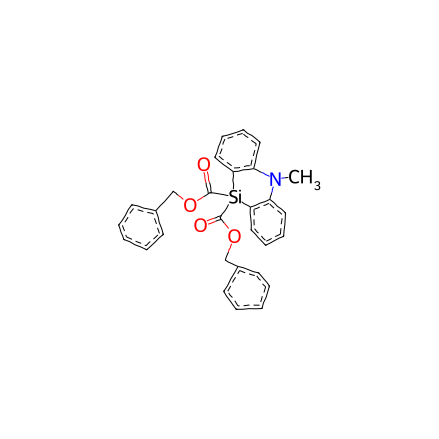 CN1c2ccccc2[Si](C(=O)OCc2ccccc2)(C(=O)OCc2ccccc2)c2ccccc21